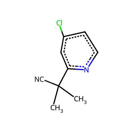 CC(C)(C#N)c1cc(Cl)ccn1